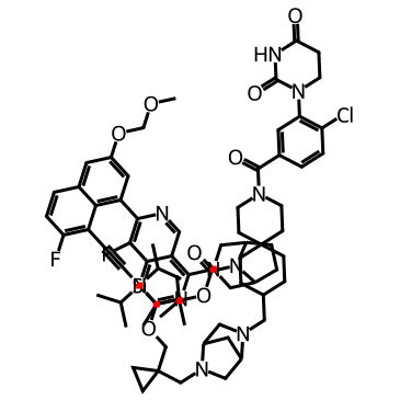 COCOc1cc(-c2ncc3c(N4CC5CCC(C4)N5C(=O)OC(C)(C)C)nc(OCC4(CN5CC6CC5CN6CC5CCC6(CC5)CCN(C(=O)c5ccc(Cl)c(N7CCC(=O)NC7=O)c5)CC6)CC4)nc3c2F)c2c(C#C[Si](C(C)C)(C(C)C)C(C)C)c(F)ccc2c1